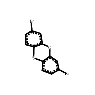 Brc1ccc2c(c1)Oc1cc(Br)ccc1S2